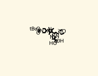 Cc1nn(C2CCN(C(=O)OC(C)(C)C)CC2)c(C)c1-c1cc(N2CCOC[C@H]2C)nc2c(B(O)O)cnn12